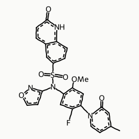 COc1cc(-n2ccc(C)cc2=O)c(F)cc1N(c1ccon1)S(=O)(=O)c1ccc2[nH]c(=O)ccc2c1